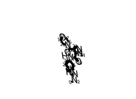 CN(C)c1nc2cc(NC(=O)c3c(C(=O)N4CCOCC4)cnn3C)ccn2n1